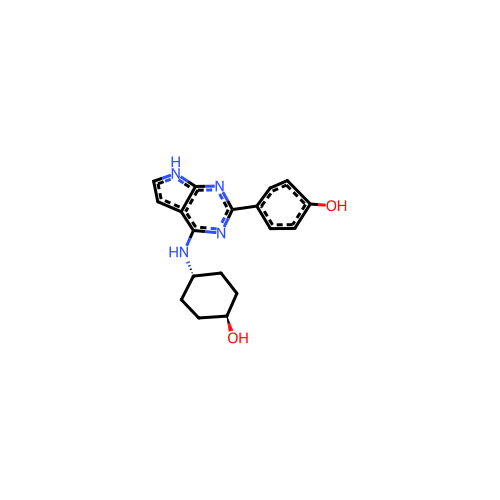 Oc1ccc(-c2nc(N[C@H]3CC[C@H](O)CC3)c3cc[nH]c3n2)cc1